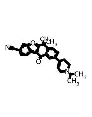 CC(C)N1CC=C(c2ccc3c(c2)C(=O)c2c(oc4cc(C#N)ccc24)C3(C)C)CC1